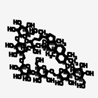 C[C@H](CC[C@@H](O[C@@H]1O[C@H](CO[C@@H]2OC[C@@H](O)[C@H](O)[C@H]2O)[C@@H](O)[C@H](O)[C@H]1O[C@H]1O[C@@H](CO)[C@H](O)[C@@H](O)[C@@H]1O)C(C)(C)O)C1CC[C@@]2(C)C3CC=C4C(CC[C@H](O[C@@H]5O[C@H](CO[C@@H]6O[C@H](CO)[C@@H](O)[C@H](O)[C@H]6O)[C@@H](O)[C@H](O)[C@H]5C5O[C@@H](CO)[C@H](O)[C@@H](O)[C@@H]5O)C4(C)C)[C@]3(C)CC[C@]12C